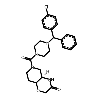 O=C1COC2CCN(C(=O)N3CCN(C(c4ccccc4)c4ccc(Cl)cc4)CC3)C[C@H]2N1